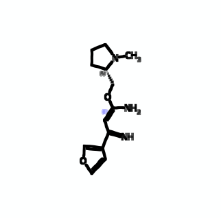 CN1CCC[C@H]1CO/C(N)=C/C(=N)c1ccoc1